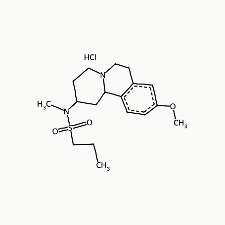 CCCS(=O)(=O)N(C)C1CCN2CCc3cc(OC)ccc3C2C1.Cl